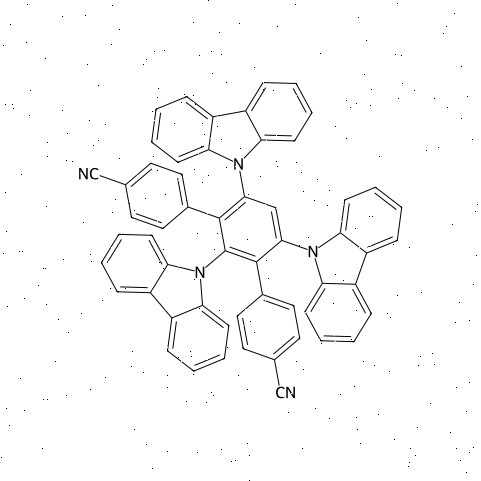 N#Cc1ccc(-c2c(-n3c4ccccc4c4ccccc43)cc(-n3c4ccccc4c4ccccc43)c(-c3ccc(C#N)cc3)c2-n2c3ccccc3c3ccccc32)cc1